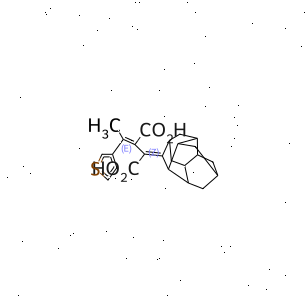 C/C(=C(C(=O)O)/C(C(=O)O)=C1\C2CC3C4CC5CC3C1C(C5)C4C2)c1ccsc1